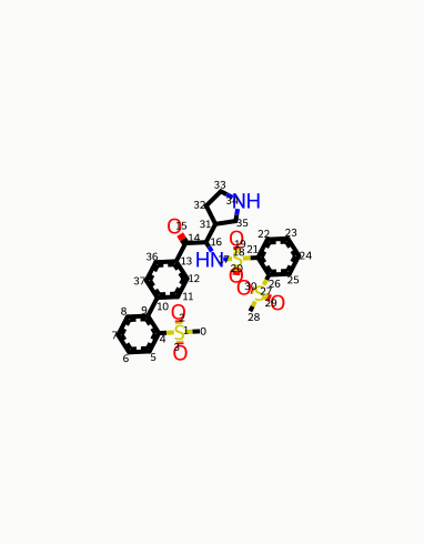 CS(=O)(=O)c1ccccc1-c1ccc(C(=O)C(NS(=O)(=O)c2ccccc2S(C)(=O)=O)C2CCNC2)cc1